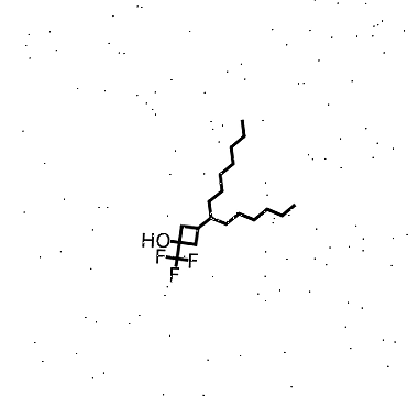 CCCCCCCC(CCCCCC)C1CC(O)(C(F)(F)F)C1